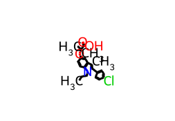 CCCn1c(-c2ccc(Cl)cc2)c(C)c2cc(OC(C)(C)C(=O)O)ccc21